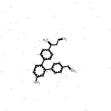 C=CCC(=C)c1ccc(-c2ccc(C)cc2-c2ccc(C=C)cc2)cc1